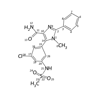 Cn1c(-c2ccccc2)nc(C(N)=O)c1-c1cc(Cl)cc(NS(C)(=O)=O)c1